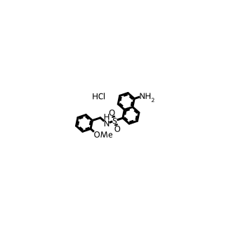 COc1ccccc1CNS(=O)(=O)c1cccc2c(N)cccc12.Cl